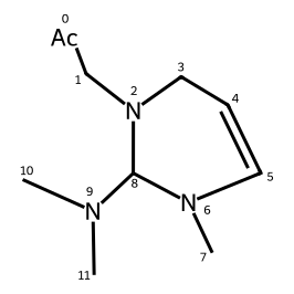 CC(=O)CN1CC=CN(C)C1N(C)C